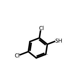 Sc1[c]cc(Cl)cc1Cl